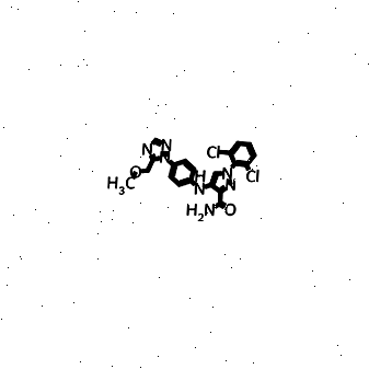 COCc1ncnn1-c1ccc(Nc2cn(-c3c(Cl)cccc3Cl)nc2C(N)=O)cc1